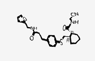 N#CCNC(=O)[C@@H]1CCCC[C@H]1CSc1ccc(CCC(=O)NCc2ccco2)cc1